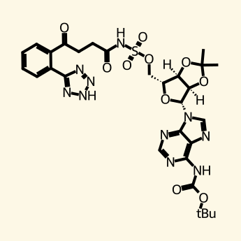 CC(C)(C)OC(=O)Nc1ncnc2c1ncn2[C@@H]1O[C@H](COS(=O)(=O)NC(=O)CCC(=O)c2ccccc2-c2nn[nH]n2)[C@H]2OC(C)(C)O[C@H]21